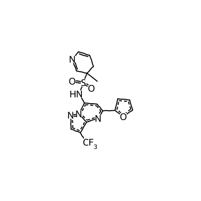 CC1(S(=O)(=O)Nc2cc(-c3ccco3)nc3c(C(F)(F)F)cnn23)C=NC=CC1